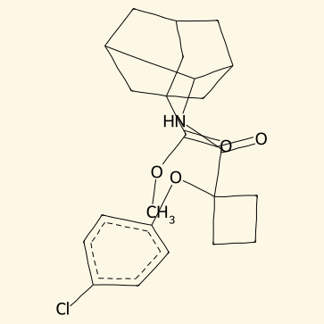 COC(=O)C12CC3CC(C1)C(NC(=O)C1(Oc4ccc(Cl)cc4)CCC1)C(C3)C2